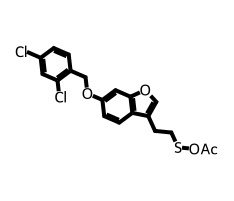 CC(=O)OSCCc1coc2cc(OCc3ccc(Cl)cc3Cl)ccc12